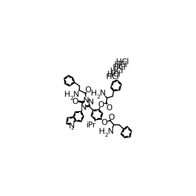 CC(C)c1cc(-c2nn(C(=O)C(N)Cc3ccccc3)c(=O)n2-c2ccc3c(ccn3C)c2)c(OC(=O)C(N)Cc2ccccc2)cc1OC(=O)C(N)Cc1ccccc1.Cl.Cl.Cl.Cl.Cl.Cl